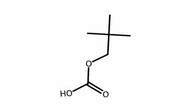 CC(C)(C)COC(=O)O